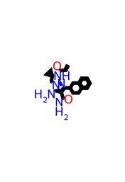 C=CC(=O)NC1(Cn2nc(C3CCc4ccccc4C3)c(C(N)=O)c2N)CC1